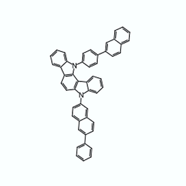 c1ccc(-c2ccc3cc(-n4c5ccccc5c5c4ccc4c6ccccc6n(-c6ccc(-c7ccc8ccccc8c7)cc6)c45)ccc3c2)cc1